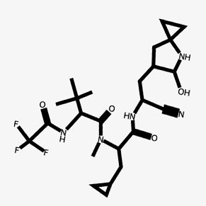 CN(C(=O)C(NC(=O)C(F)(F)F)C(C)(C)C)C(CC1CC1)C(=O)NC(C#N)CC1CC2(CC2)NC1O